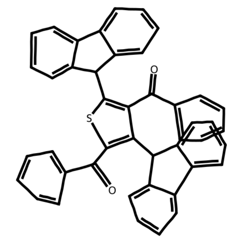 O=C(c1ccccc1)c1sc(C2c3ccccc3-c3ccccc32)c(C(=O)c2ccccc2)c1C1c2ccccc2-c2ccccc21